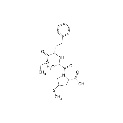 CCOC(=O)[C@H](CCc1ccccc1)N[C@@H](C)C(=O)N1CC(SC)C[C@H]1C(=O)O